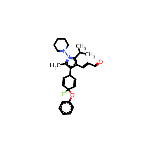 Cc1c(C2C=CC(F)(Oc3ccccc3)C=C2)c(/C=C/C=O)c(C(C)C)n1N1CCCCC1